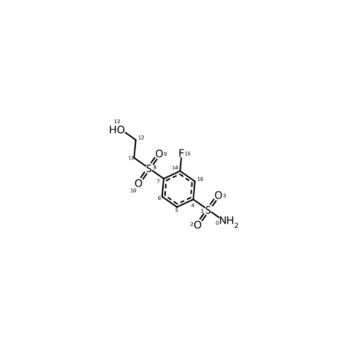 NS(=O)(=O)c1ccc(S(=O)(=O)CCO)c(F)c1